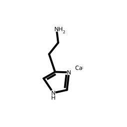 NCCc1c[nH]cn1.[Ca]